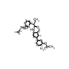 CCC(C(=O)Nc1ccc(-c2cncc(OC(C)C)n2)cc1F)c1ccnc(NSC2CC2)n1